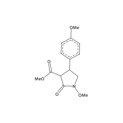 COC(=O)C1C(=O)N(OC)CC1c1ccc(OC)cc1